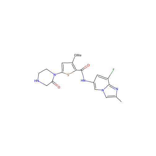 COc1cc(N2CCNCC2=O)sc1C(=O)Nc1cc(F)c2nc(C)cn2c1